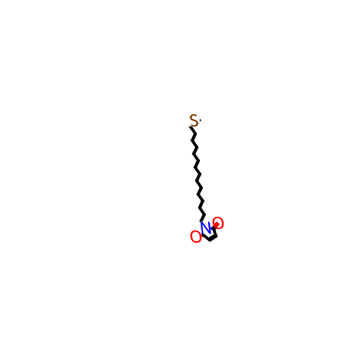 O=C1C=CC(=O)N1CCCCCCCCCCCCCCC[S]